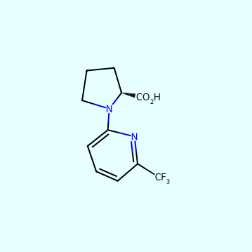 O=C(O)[C@@H]1CCCN1c1cccc(C(F)(F)F)n1